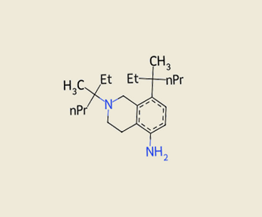 CCCC(C)(CC)c1ccc(N)c2c1CN(C(C)(CC)CCC)CC2